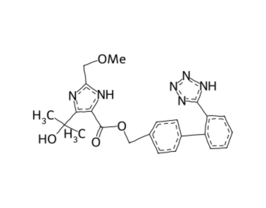 COCc1nc(C(C)(C)O)c(C(=O)OCc2ccc(-c3ccccc3-c3nnn[nH]3)cc2)[nH]1